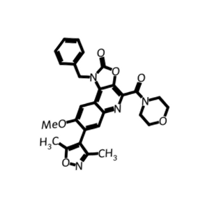 COc1cc2c(cc1-c1c(C)noc1C)nc(C(=O)N1CCOCC1)c1oc(=O)n(Cc3ccccc3)c12